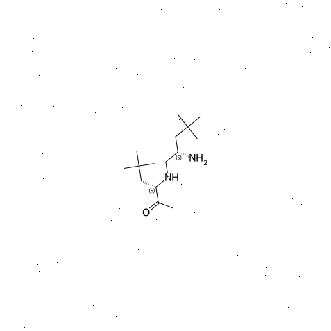 CC(=O)[C@H](CC(C)(C)C)NC[C@@H](N)CC(C)(C)C